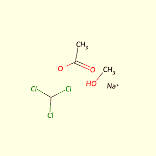 CC(=O)[O-].CO.ClC(Cl)Cl.[Na+]